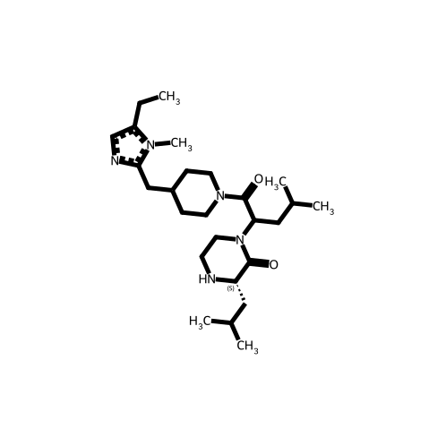 CCc1cnc(CC2CCN(C(=O)C(CC(C)C)N3CCN[C@@H](CC(C)C)C3=O)CC2)n1C